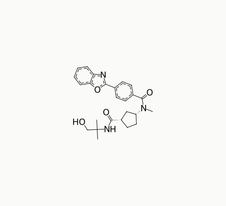 CN(C(=O)c1ccc(-c2nc3ccccc3o2)cc1)[C@@H]1CC[C@H](C(=O)NC(C)(C)CO)C1